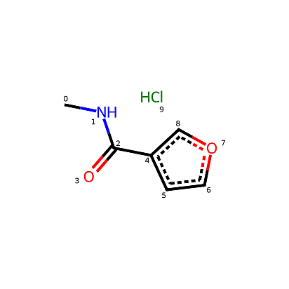 CNC(=O)c1ccoc1.Cl